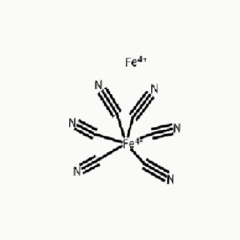 N#[C][Fe-4]([C]#N)([C]#N)([C]#N)([C]#N)[C]#N.[Fe+4]